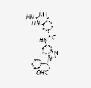 N=C(N)Nc1cccc(C(=O)Nc2ccc3c(c2)ncn3C(CC=O)c2ccccc2)c1